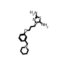 NC1=NN(CCCOc2cccc(CN3CCCCC3)c2)C(N)S1